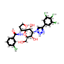 O=C(N[C@@H]1CCO[C@]12O[C@H](CO)[C@H](O)[C@H](n1cc(-c3cc(F)c(F)c(F)c3)nn1)[C@H]2O)c1cccc(Br)c1